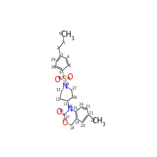 CCCc1ccc(S(=O)(=O)N2CCC(N3C(=O)OCc4cc(C)ccc43)CC2)cc1